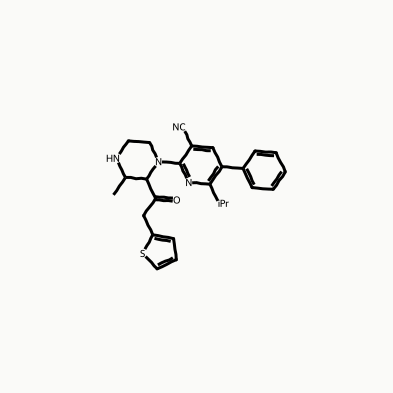 CC(C)c1nc(N2CCNC(C)C2C(=O)Cc2cccs2)c(C#N)cc1-c1ccccc1